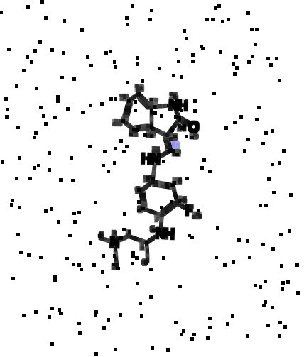 CC(CN(C)C)Nc1ccc(N/C=C2/C(=O)Nc3ccccc32)cc1F